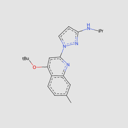 Cc1ccc2c(OC(C)(C)C)cc(-n3ccc(NC(C)C)n3)nc2c1